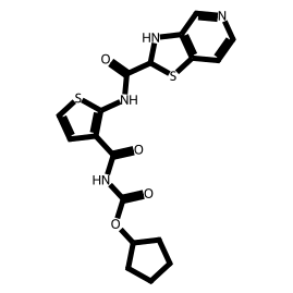 O=C(NC(=O)c1ccsc1NC(=O)C1Nc2cnccc2S1)OC1CCCC1